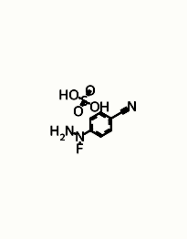 N#Cc1ccc(N(N)F)cc1.O=S(=O)(O)O